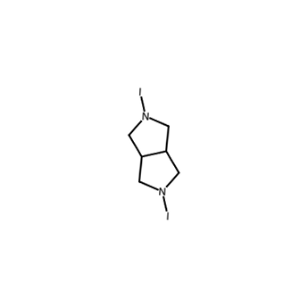 IN1CC2CN(I)CC2C1